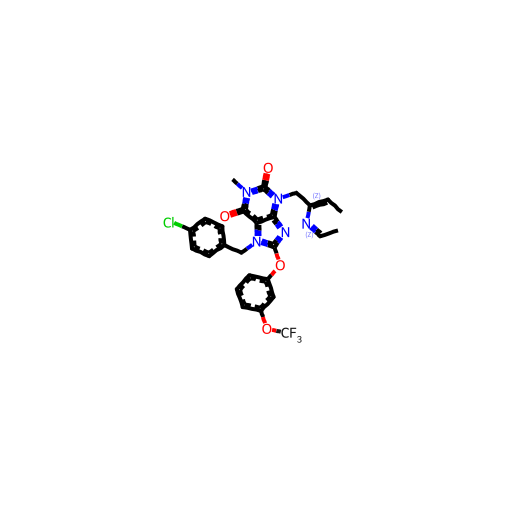 C/C=N\C(=C/C)Cn1c(=O)n(C)c(=O)c2c1nc(Oc1cccc(OC(F)(F)F)c1)n2Cc1ccc(Cl)cc1